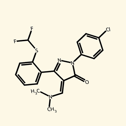 CN(C)/C=C1/C(=O)N(c2ccc(Cl)cc2)N=C1c1ccccc1SC(F)F